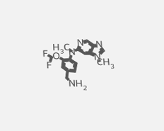 CN(c1cc2c(cn1)ncn2C)c1ccc(CN)cc1OC(F)F